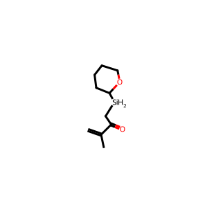 C=C(C)C(=O)C[SiH2]C1CCCCO1